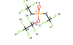 O=P(CC(F)(F)F)(CC(F)(F)F)OC(F)(F)C(F)(F)F